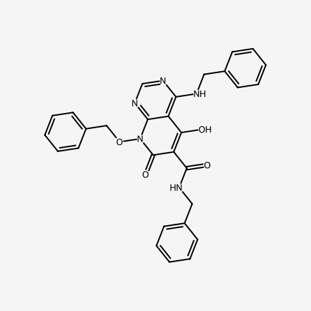 O=C(NCc1ccccc1)c1c(O)c2c(NCc3ccccc3)ncnc2n(OCc2ccccc2)c1=O